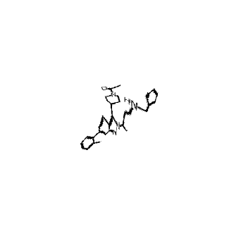 CC(=O)N1CCC(c2c3ccc(-c4ccccc4C)cc3nn2C(C)CCNCc2ccccc2)CC1